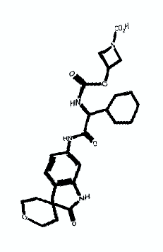 O=C(NC(C(=O)Nc1ccc2c(c1)NC(=O)C21CCOCC1)C1CCCCC1)OC1CN(C(=O)O)C1